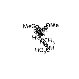 CCCC(C)Oc1nc(N(Cc2ccc(OC)cc2)Cc2ccc(OC)cc2)c2ncc(C(O)c3cnc(N4CCC(NC(=O)O)CC4)c(C)c3)n2n1